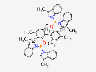 Cc1cc(C)c(-c2c(C)cc(C)c(C)c2OP(n2cc(C)c3ccccc32)n2cc(C)c3ccccc32)c(OP(n2cc(C)c3ccccc32)n2cc(C)c3ccccc32)c1C